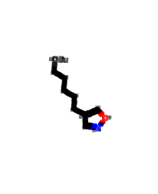 C[C](C)COCCCCCc1cnoc1